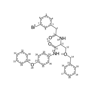 O=C(Cc1cccc(Br)c1)NC(COCc1ccccc1)C(=O)Nc1ccc(Oc2ccccc2)cc1